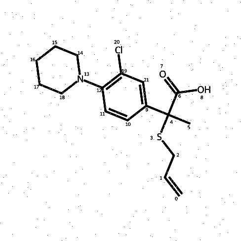 C=CCSC(C)(C(=O)O)c1ccc(N2CCCCC2)c(Cl)c1